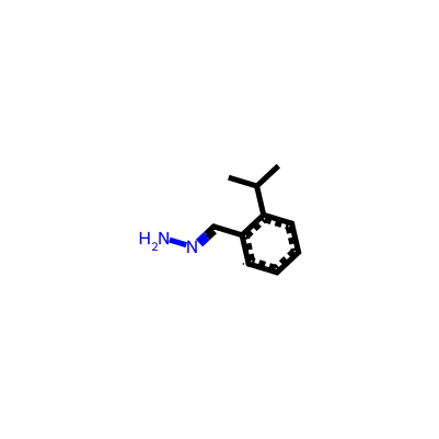 CC(C)c1ccc[c]c1C=NN